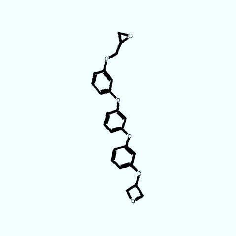 c1cc(OCC2CO2)cc(Oc2cccc(Oc3cccc(OC4COC4)c3)c2)c1